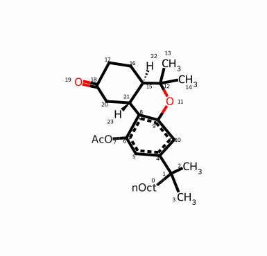 CCCCCCCCC(C)(C)c1cc(OC(C)=O)c2c(c1)OC(C)(C)[C@@H]1CCC(=O)C[C@@H]21